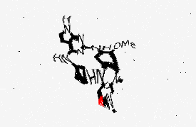 C=CC(=O)Nc1cc(Nc2nc(NC34CC(C3)C4)c3cc[nH]c3n2)c(OC)cc1N(C)CCN(C)C